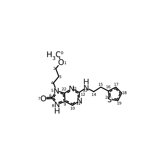 COCCCn1c(=O)[nH]c2cnc(NCCc3cccs3)nc21